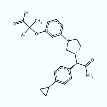 CC(C)(Oc1cccc(N2CC[C@H]([C@@H](C(N)=O)c3ccc(C4CC4)cc3)C2)c1)C(=O)O